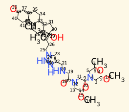 COCCN(CC(C)=O)C(=O)CN(CCOC)C(=O)CNCC1=CN(CCC[C@]2(O)CCC3C4CCC5=CC(=O)CC[C@]5(C)C4CC[C@@]32C)NN1